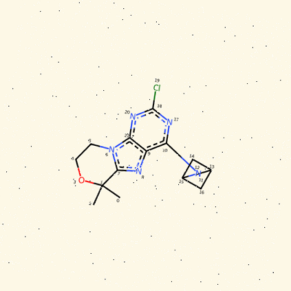 CC1(C)OCCn2c1nc1c(N3CC4CC3C4)nc(Cl)nc12